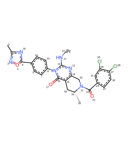 Cc1noc(-c2ccc(-n3c(NC(C)C)nc4c(c3=O)C[C@@H](C)N(C(=O)c3ccc(Cl)c(Cl)c3)C4)cc2)n1